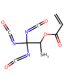 C=CC(=O)OC([SiH3])C(N=C=O)(N=C=O)N=C=O